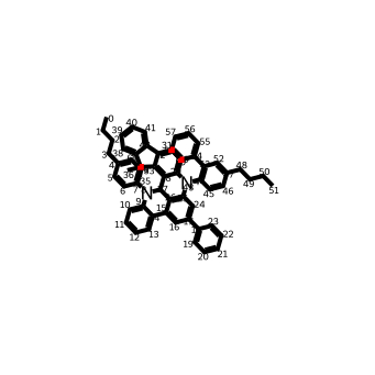 CCCCc1ccc(N2c3ccccc3-c3cc(-c4ccccc4)cc4c3C2c2c(ccc3c2C(C)(C)c2ccccc2-3)N4c2ccc(CCCC)cc2-c2ccccc2)cc1